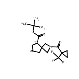 CC(C)(C)OC(=O)[C@@H]1CNCC12CN(C(=O)C1(C(F)(F)F)CC1)C2